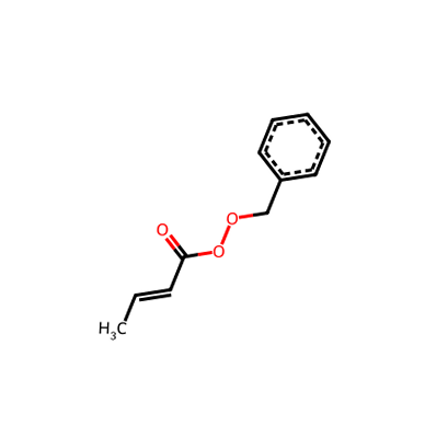 CC=CC(=O)OOCc1ccccc1